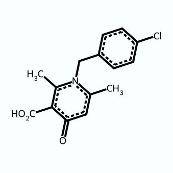 Cc1cc(=O)c(C(=O)O)c(C)n1Cc1ccc(Cl)cc1